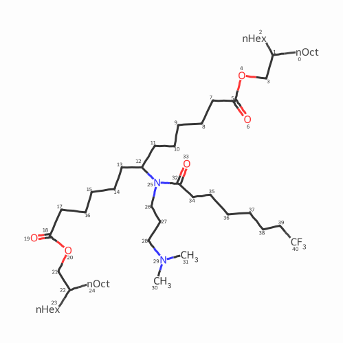 CCCCCCCCC(CCCCCC)COC(=O)CCCCCC(CCCCCC(=O)OCC(CCCCCC)CCCCCCCC)N(CCCN(C)C)C(=O)CCCCCCC(F)(F)F